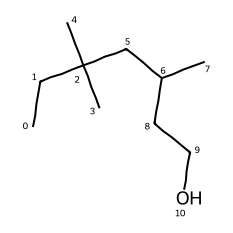 CCC(C)(C)CC(C)CCO